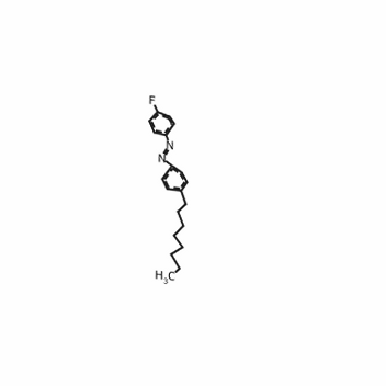 CCCCCCCCc1ccc(N=Nc2ccc(F)cc2)cc1